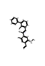 C=Cc1cc(C)c(/C(F)=C/c2cccc(-c3ccccc3)c2C)cc1OC